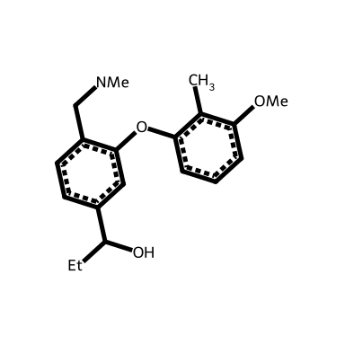 CCC(O)c1ccc(CNC)c(Oc2cccc(OC)c2C)c1